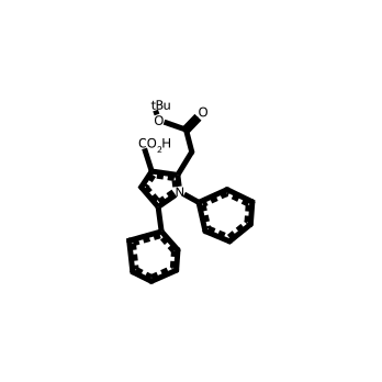 CC(C)(C)OC(=O)Cc1c(C(=O)O)cc(-c2ccccc2)n1-c1ccccc1